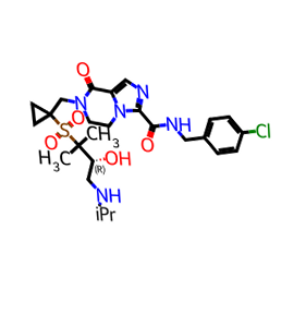 CC(C)NC[C@@H](O)C(C)(C)S(=O)(=O)C1(CN2CCn3c(cnc3C(=O)NCc3ccc(Cl)cc3)C2=O)CC1